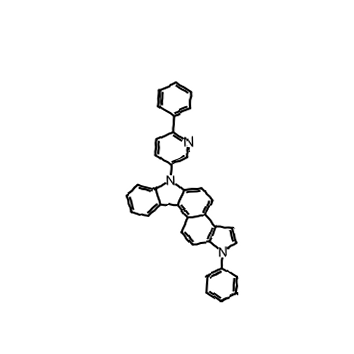 c1ccc(-c2ccc(-n3c4ccccc4c4c5ccc6c(ccn6-c6ccccc6)c5ccc43)cn2)cc1